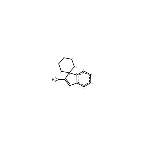 CC1=Cc2ccccc2C12CCCCC2